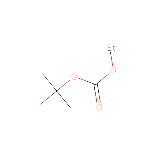 CCOC(=O)OC(C)(C)I